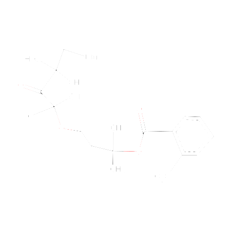 CC(C)(C)CC(C)(C)C(=O)C(C)(C)OCCC(C)(C)OC(=O)c1ccccc1C(=O)O